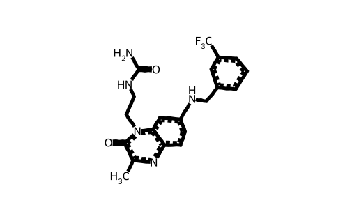 Cc1nc2ccc(NCc3cccc(C(F)(F)F)c3)cc2n(CCNC(N)=O)c1=O